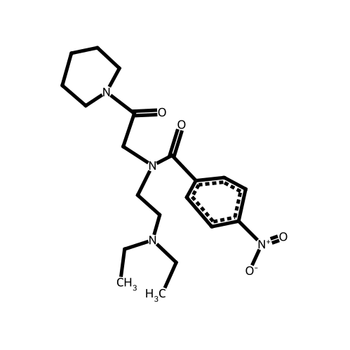 CCN(CC)CCN(CC(=O)N1CCCCC1)C(=O)c1ccc([N+](=O)[O-])cc1